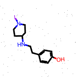 Oc1ccc(CCNC2CCN(I)CC2)cc1